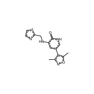 Cc1noc(C)c1-c1c[nH]c(=O)c(NCc2nccs2)c1